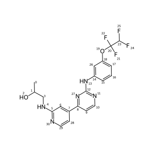 CC(O)CNc1cc(-c2ccnc(Nc3cccc(OC(F)(F)C(F)F)c3)n2)ccn1